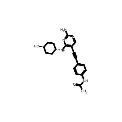 CC(=O)Nc1ccc(C#Cc2cnc(N)nc2N[C@H]2CC[C@H](O)CC2)cc1